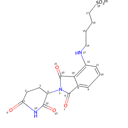 O=C1CCC(N2C(=O)c3cccc(NCCCCS(=O)(=O)O)c3C2=O)C(=O)N1